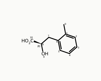 Cc1ccccc1C[C@@H](O)C(=O)O